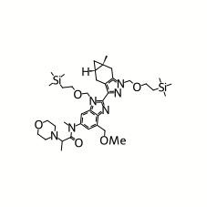 COCc1cc(N(C)C(=O)C(C)N2CCOCC2)cc2c1nc(-c1nn(COCC[Si](C)(C)C)c3c1C[C@@H]1C[C@]1(C)C3)n2COCC[Si](C)(C)C